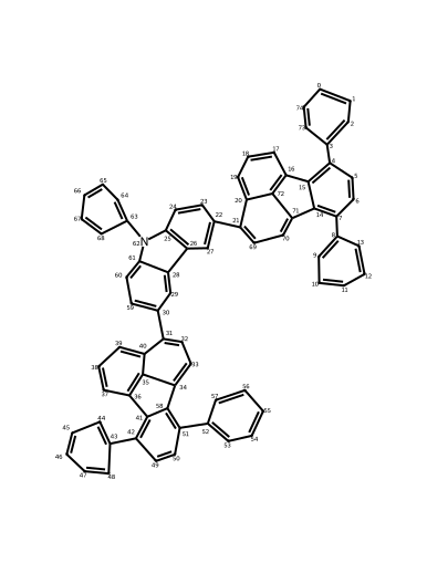 c1ccc(-c2ccc(-c3ccccc3)c3c2-c2cccc4c(-c5ccc6c(c5)c5cc(-c7ccc8c9c(cccc79)-c7c(-c9ccccc9)ccc(-c9ccccc9)c7-8)ccc5n6-c5ccccc5)ccc-3c24)cc1